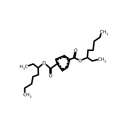 CCCCCC(CC)OC(=O)c1ccc(C(=O)OC(CC)CCCCC)cc1